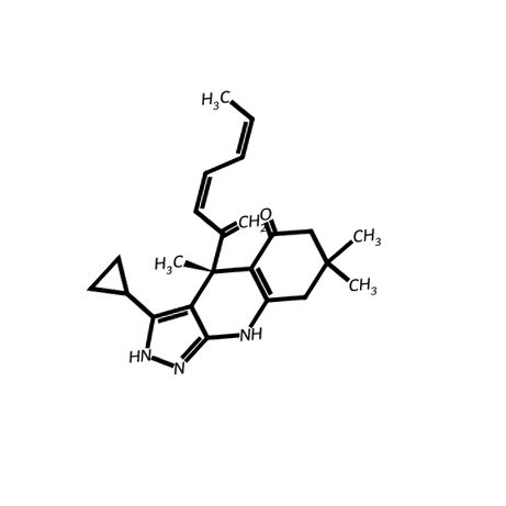 C=C(/C=C\C=C/C)[C@]1(C)C2=C(CC(C)(C)CC2=O)Nc2n[nH]c(C3CC3)c21